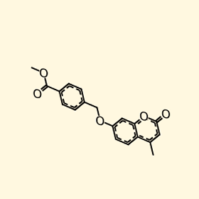 COC(=O)c1ccc(COc2ccc3c(C)cc(=O)oc3c2)cc1